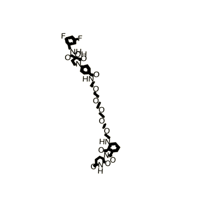 O=C1CCC(N2C(=O)c3cccc(NCCOCCOCCOCCOCCOCCNC(=O)c4ccc(N5CCC(O)(C(=O)NCc6cc(F)cc(F)c6)C5=O)cc4)c3C2=O)C(=O)N1